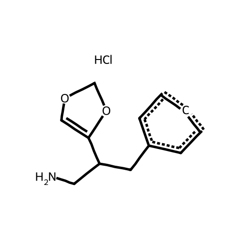 Cl.NCC(Cc1ccccc1)C1=COCO1